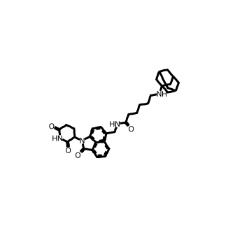 O=C(CCCCCNC12CC3CC(CC(C3)C1)C2)NCc1ccc2c3c(cccc13)C(=O)N2C1CCC(=O)NC1=O